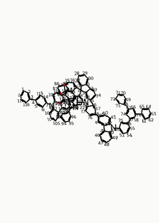 c1ccc(-c2ccc(N(c3ccc(-c4cccc5c4-c4ccccc4C54c5ccccc5-c5ccc6c7cc(-c8ccc9c(c8)c8ccccc8n9-c8cccc(-c9cc(-c%10ccccc%10)cc(-c%10ccccc%10)c9)c8)ccc7n(-c7nc(-c8ccccc8)nc(-c8ccccc8)n7)c6c54)cc3)c3ccccc3-c3ccccc3)cc2)cc1